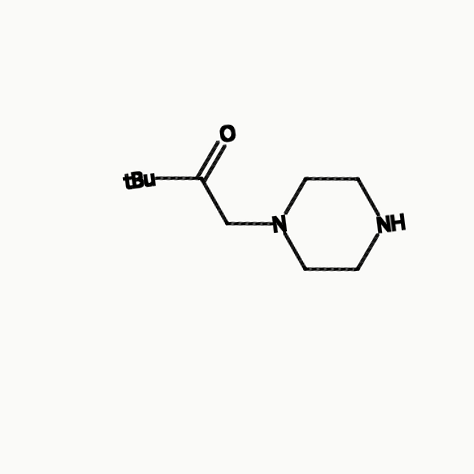 CC(C)(C)C(=O)CN1CCNCC1